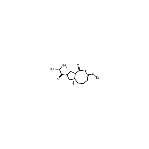 CCOB1CCC[C@H]2CN(C(=O)[C@H](C)N)CC2C(=O)O1